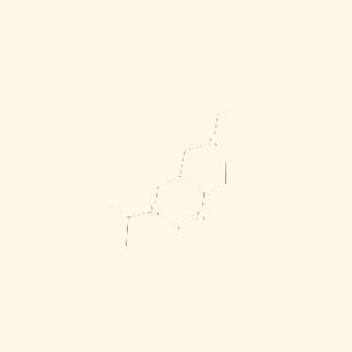 CCN1CCC2=C(C1)CN(C(C)C)C=N2